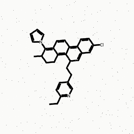 CCc1ccc(CCC2C=c3cc(Cl)ccc3=c3ccc4c(c32)CCC(C)C=4n2cccc2)cn1